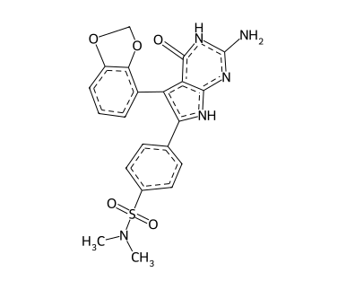 CN(C)S(=O)(=O)c1ccc(-c2[nH]c3nc(N)[nH]c(=O)c3c2-c2cccc3c2OCO3)cc1